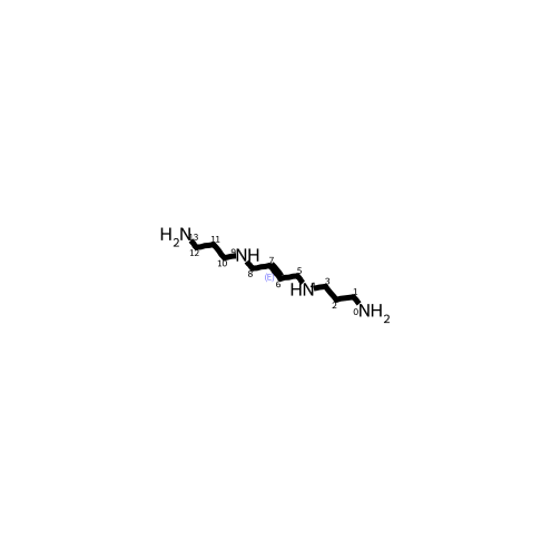 NCCCNC/C=C/CNCCCN